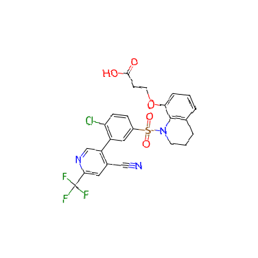 N#Cc1cc(C(F)(F)F)ncc1-c1cc(S(=O)(=O)N2CCCc3cccc(OCCC(=O)O)c32)ccc1Cl